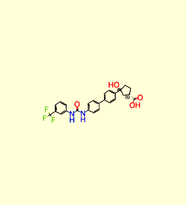 O=C(Nc1ccc(-c2ccc([C@@]3(O)CC[C@H](C(=O)O)C3)cc2)cc1)Nc1cccc(C(F)(F)F)c1